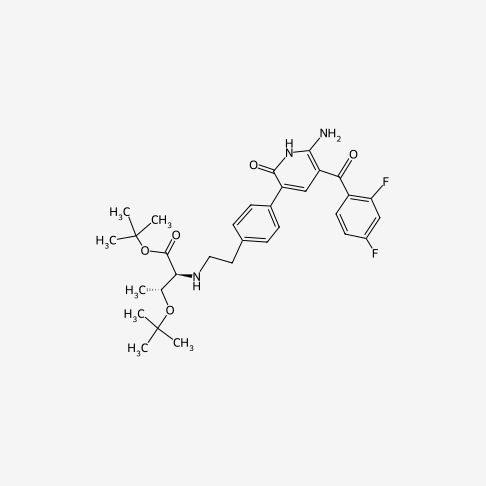 C[C@@H](OC(C)(C)C)[C@H](NCCc1ccc(-c2cc(C(=O)c3ccc(F)cc3F)c(N)[nH]c2=O)cc1)C(=O)OC(C)(C)C